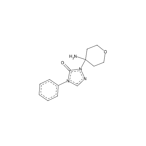 NC1(n2ncn(-c3ccccc3)c2=O)CCOCC1